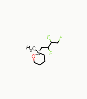 C[Si]1(CC(F)C(F)CF)CCCCO1